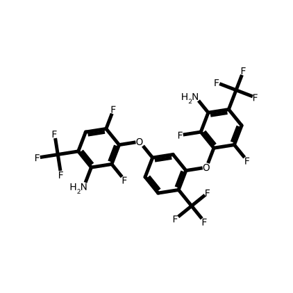 Nc1c(C(F)(F)F)cc(F)c(Oc2ccc(C(F)(F)F)c(Oc3c(F)cc(C(F)(F)F)c(N)c3F)c2)c1F